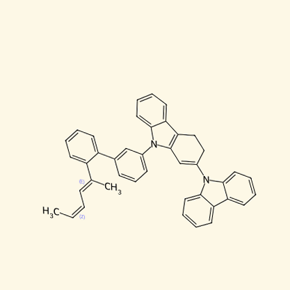 C/C=C\C=C(/C)c1ccccc1-c1cccc(-n2c3c(c4ccccc42)CCC(n2c4ccccc4c4ccccc42)=C3)c1